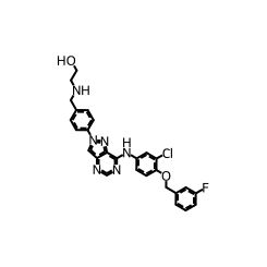 OCCNCc1ccc(-n2cc3ncnc(Nc4ccc(OCc5cccc(F)c5)c(Cl)c4)c3n2)cc1